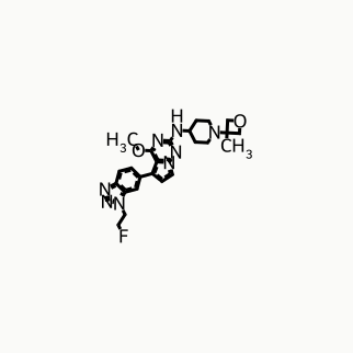 COc1nc(NC2CCN(C3(C)COC3)CC2)nn2ccc(-c3ccc4nnn(CCF)c4c3)c12